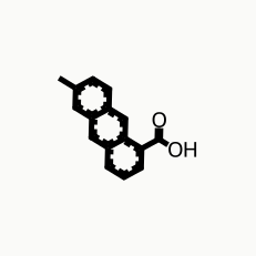 Cc1ccc2cc3c(C(=O)O)cccc3cc2c1